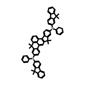 CC1(C)c2ccccc2-c2ccc(N(C3=CC=CCC3)c3ccc4c(c3)C(C)(C)c3cc5c6c(cccc6c3-4)C(C)(C)c3cc(N(c4ccccc4)c4ccc6c(c4)C(C)(C)c4ccccc4-6)ccc3-5)cc21